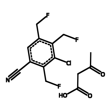 CC(=O)CC(=O)O.N#Cc1cc(CF)c(CF)c(Cl)c1CF